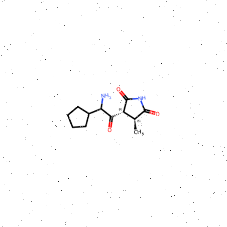 C[C@@H]1C(=O)NC(=O)[C@H]1C(=O)C(N)C1CCCC1